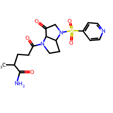 CC(C[CH]C(=O)N1CCC2C1C(=O)CN2S(=O)(=O)c1ccncc1)C(N)=O